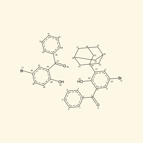 O=C(c1ccccc1)c1cc(Br)cc(C23CC4CC(CC(C4)C2)C3)c1O.O=C(c1ccccc1)c1cc(Br)ccc1O